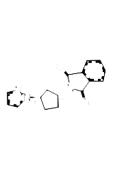 O=C1c2ccccc2C(=O)N1[C@@H]1CC[C@@H](n2cccn2)C1